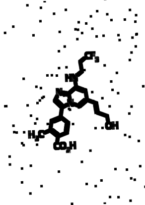 Cc1cc(-c2cnc3c(NCCC(F)(F)F)cc(C=CCO)cn23)ccc1C(=O)O